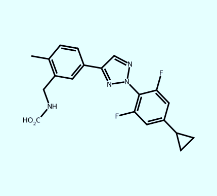 Cc1ccc(-c2cnn(-c3c(F)cc(C4CC4)cc3F)n2)cc1CNC(=O)O